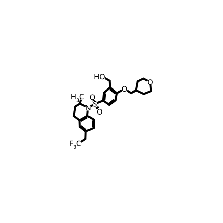 CC1CCc2cc(CC(F)(F)F)ccc2N1S(=O)(=O)c1ccc(OCC2CCOCC2)c(CO)c1